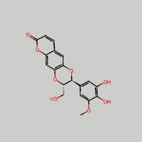 COc1cc([C@@H]2Oc3cc4ccc(=O)oc4cc3O[C@H]2CO)cc(O)c1O